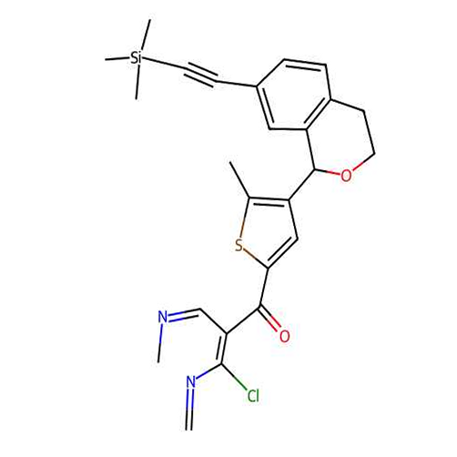 C=N/C(Cl)=C(\C=N/C)C(=O)c1cc(C2OCCc3ccc(C#C[Si](C)(C)C)cc32)c(C)s1